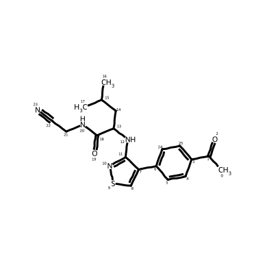 CC(=O)c1ccc(-c2csnc2NC(CC(C)C)C(=O)NCC#N)cc1